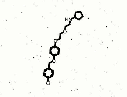 Clc1ccc(COc2ccc(OCCOCCNC3CCCC3)cc2)cc1